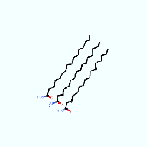 CCCCCCCCCCCCCCCC(N)=O.CCCCCCCCCCCCCCCC(N)=O.CCCCCCCCCCCCCCCC(N)=O